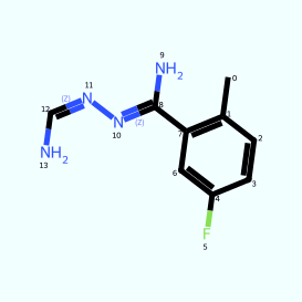 Cc1ccc(F)cc1/C(N)=N/N=C\N